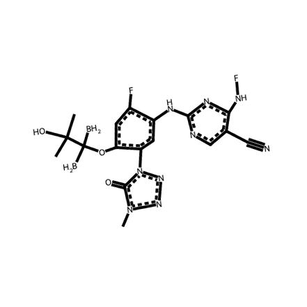 BC(B)(Oc1cc(F)c(Nc2ncc(C#N)c(NF)n2)cc1-n1nnn(C)c1=O)C(C)(C)O